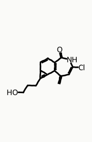 C=C1C=C(Cl)NC(=O)C2=C1C1=C(CCCO)C1C=C2